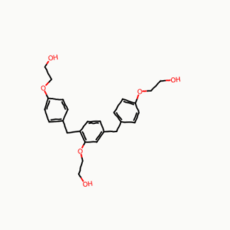 OCCOc1ccc(Cc2ccc(Cc3ccc(OCCO)cc3)c(OCCO)c2)cc1